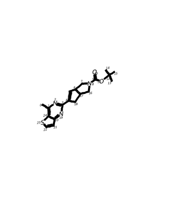 Cc1nc(C2=CC3CN(C(=O)OC(C)(C)C)CC3C2)nc2ccsc12